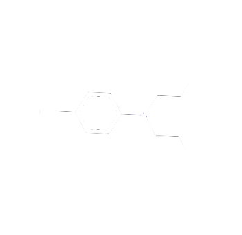 CCCCc1ccc(N(CCO)CCO)cc1